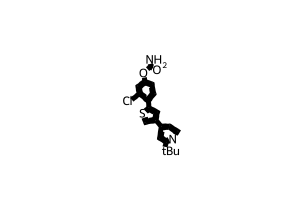 CC(C)(C)c1cc(-c2csc(-c3ccc(OC(N)=O)cc3Cl)c2)ccn1